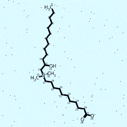 CCCCCCCCCCCC(O)C[N+](C)(C)CCCCCCCCCCC(=O)[O-]